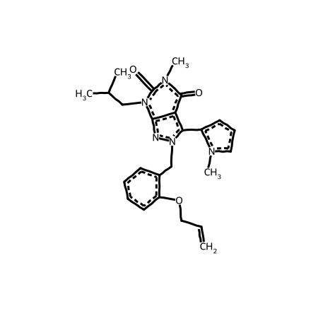 C=CCOc1ccccc1Cn1nc2c(c1-c1cccn1C)c(=O)n(C)c(=O)n2CC(C)C